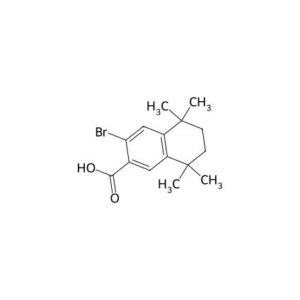 CC1(C)CCC(C)(C)c2cc(C(=O)O)c(Br)cc21